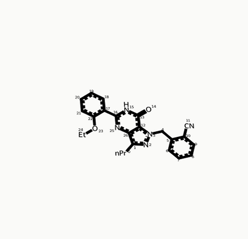 CCCc1nn(Cc2ccccc2C#N)c2c(=O)[nH]c(-c3ccccc3OCC)nc12